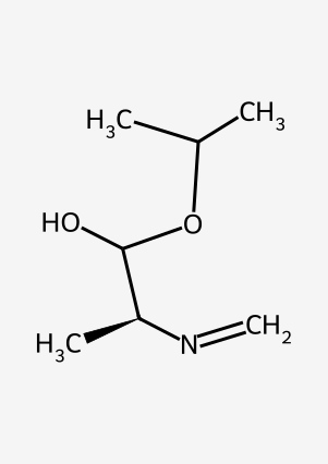 C=N[C@@H](C)C(O)OC(C)C